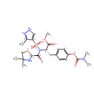 COC(=O)[C@H](Cc1ccc(OC(=O)N(C)C)cc1)N(C(=O)[C@H]1NC(C)(C)CS1)S(=O)(=O)c1c[nH]nc1C